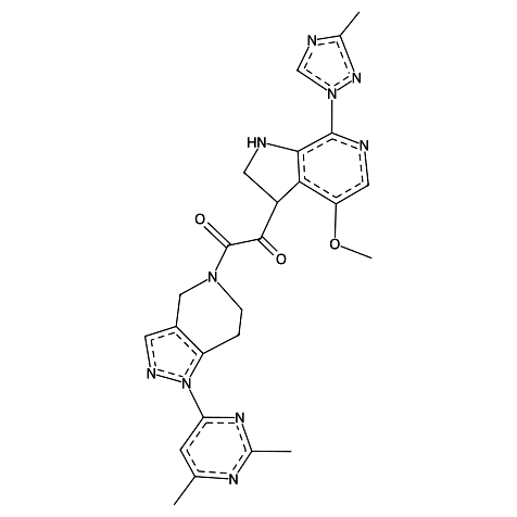 COc1cnc(-n2cnc(C)n2)c2c1C(C(=O)C(=O)N1CCc3c(cnn3-c3cc(C)nc(C)n3)C1)CN2